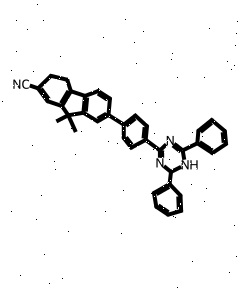 CC1(C)C2=C(CCC(C#N)=C2)c2ccc(-c3ccc(C4=NC(c5ccccc5)NC(c5ccccc5)=N4)cc3)cc21